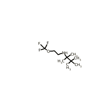 CC(C)(C)C(C)(C)NCCOC(F)(F)F